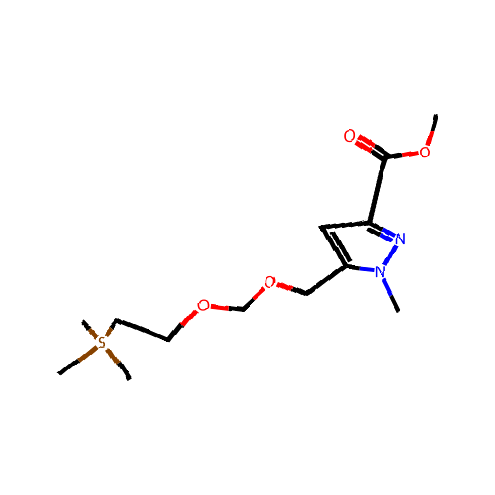 COC(=O)c1cc(COCOCCS(C)(C)C)n(C)n1